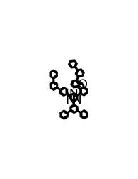 c1ccc(-c2cccc(-c3ccc(-c4nc(-c5cc(-c6ccccc6)cc(-c6ccccc6)c5)nc(-c5cccc6oc7c(-c8cccc(-c9ccccc9)c8)cccc7c56)n4)cc3)c2)cc1